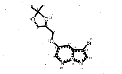 CC1(C)OCC(COc2cnn3ncc(Br)c3c2)O1